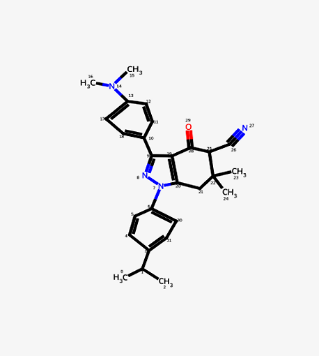 CC(C)c1ccc(-n2nc(-c3ccc(N(C)C)cc3)c3c2CC(C)(C)C(C#N)C3=O)cc1